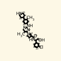 Cc1cc(Nc2ncc(C)c(N3C=C(C(=O)NC(CO)c4cccc(Cl)c4)CC3)n2)ccc1C1CCNCC1